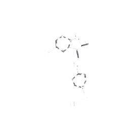 CSc1ccc(N/C=C2/C(=O)Nc3ccc(Cl)cc32)cc1